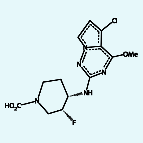 COc1nc(N[C@H]2CCN(C(=O)O)C[C@H]2F)nn2ccc(Cl)c12